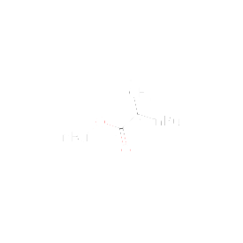 CCCCOC(=O)C(CCCC)C(F)(F)F